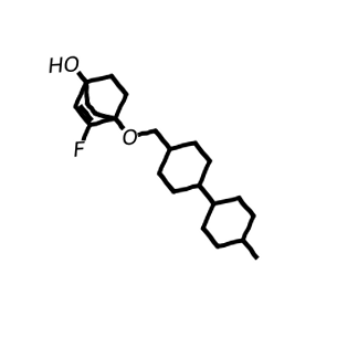 CC1CCC(C2CCC(COC34CCC(O)(C=C3F)CC4)CC2)CC1